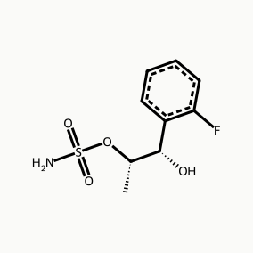 C[C@H](OS(N)(=O)=O)[C@@H](O)c1ccccc1F